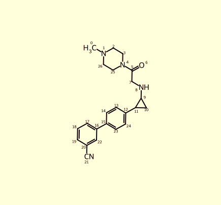 CN1CCN(C(=O)CNC2CC2c2ccc(-c3cccc(C#N)c3)cc2)CC1